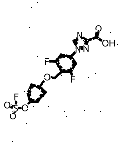 O=C(O)c1ncn(-c2cc(F)c(COc3ccc(OS(=O)(=O)F)cc3)c(F)c2)n1